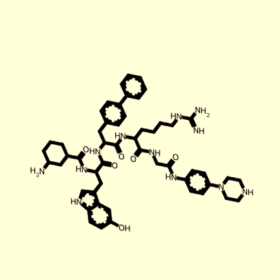 N=C(N)NCCCCC(NC(=O)C(Cc1ccc(-c2ccccc2)cc1)NC(=O)C(Cc1c[nH]c2ccc(O)cc12)NC(=O)C1CCCC(N)C1)C(=O)NCC(=O)Nc1ccc(N2CCNCC2)cc1